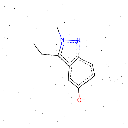 CCc1c2cc(O)ccc2nn1C